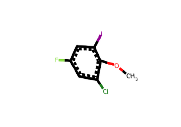 COc1c(Cl)cc(F)cc1I